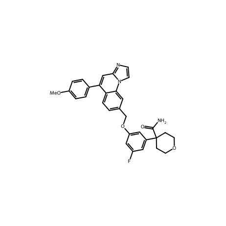 COc1ccc(-c2cc3nccn3c3cc(COc4cc(F)cc(C5(C(N)=O)CCOCC5)c4)ccc23)cc1